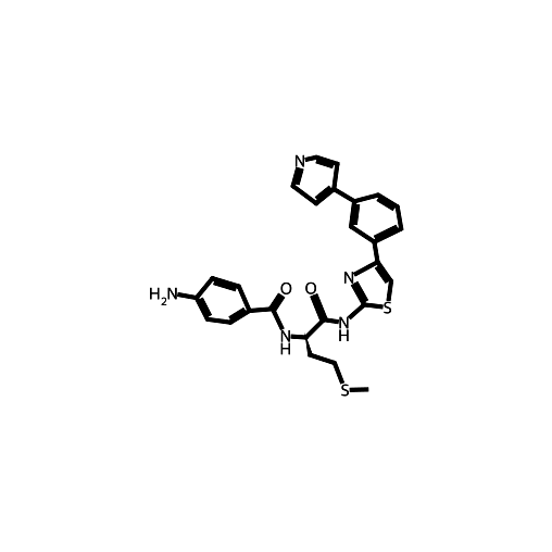 CSCC[C@@H](NC(=O)c1ccc(N)cc1)C(=O)Nc1nc(-c2cccc(-c3ccncc3)c2)cs1